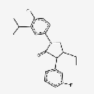 CCC1CN(c2ccc(Cl)c(C(C)C)c2)C(=O)C1c1cccc(F)c1